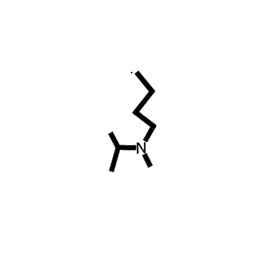 [CH2]CCCN(C)C(C)C